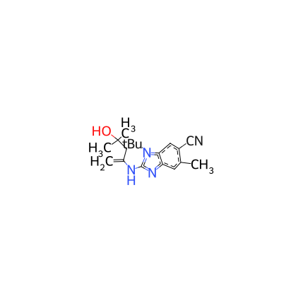 C=C(CC(C)(C)O)Nc1nc2cc(C)c(C#N)cc2n1C(C)(C)C